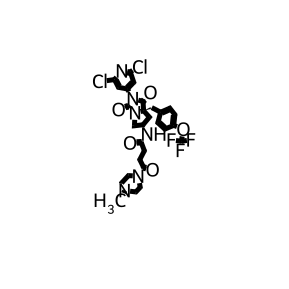 CN1CCN(C(=O)CCC(=O)N[C@@H]2CN3C(=O)N(c4cc(Cl)nc(Cl)c4)C(=O)[C@@]3(Cc3ccc(OC(F)(F)F)cc3)C2)CC1